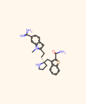 Cn1c(CC[C@]2(Cc3c(C(N)=O)sc4ccccc34)CCCN2)cc2ccc(C(=N)N)cc21